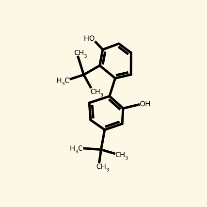 CC(C)(C)c1ccc(-c2cccc(O)c2C(C)(C)C)c(O)c1